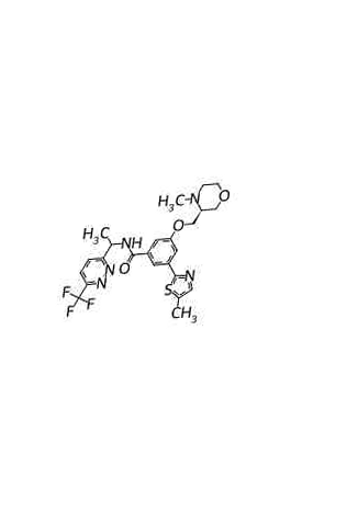 Cc1cnc(-c2cc(OC[C@@H]3COCCN3C)cc(C(=O)NC(C)c3ccc(C(F)(F)F)nn3)c2)s1